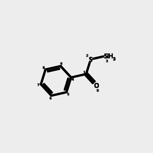 O=C(S[SiH3])c1ccccc1